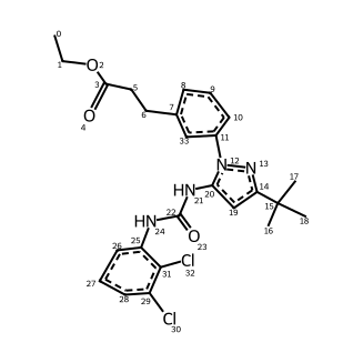 CCOC(=O)CCc1cccc(-n2nc(C(C)(C)C)cc2NC(=O)Nc2cccc(Cl)c2Cl)c1